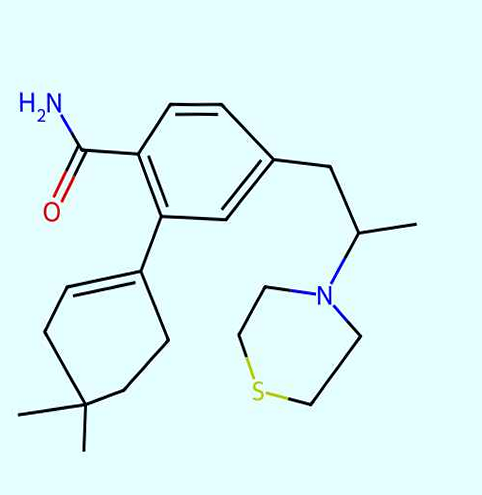 CC(Cc1ccc(C(N)=O)c(C2=CCC(C)(C)CC2)c1)N1CCSCC1